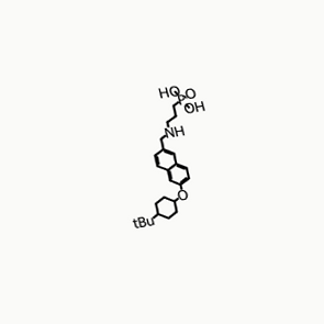 CC(C)(C)C1CCC(Oc2ccc3cc(CNCCCP(=O)(O)O)ccc3c2)CC1